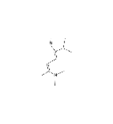 C=C/C(=C\C=C(\C)N(C)C)C(C)C